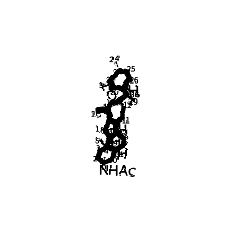 CC(=O)N[C@H]1CC[C@@]2(C)[C@H](CC[C@H]3[C@@H]4CC[C@@]5(CC(C)=C4C[C@@H]32)O[C@@H]2C[C@H](C)CC[C@H]2[C@H]5C)C1